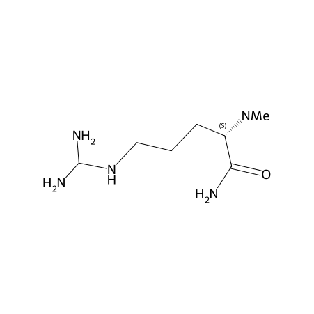 CN[C@@H](CCCNC(N)N)C(N)=O